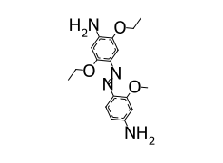 CCOc1cc(N=Nc2ccc(N)cc2OC)c(OCC)cc1N